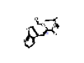 CC(C)N(C)C(=O)/C(=C/c1c[nH]c2ncccc12)OC=O